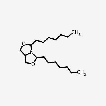 CCCCCCCC1OCC2COC(CCCCCCC)N21